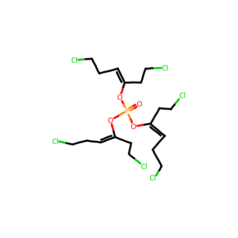 O=P(O/C(=C\CCCl)CCCl)(O/C(=C\CCCl)CCCl)O/C(=C\CCCl)CCCl